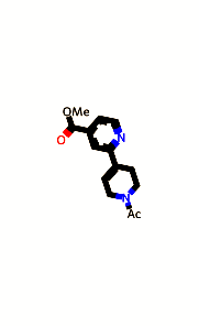 COC(=O)c1ccnc(C2=CCN(C(C)=O)CC2)c1